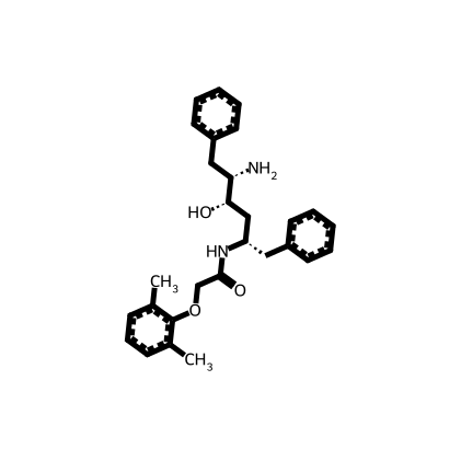 Cc1cccc(C)c1OCC(=O)N[C@@H](Cc1ccccc1)C[C@H](O)[C@@H](N)Cc1ccccc1